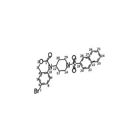 O=C1OCc2cc(Br)ccc2N1C1CCN(S(=O)(=O)c2ccc3ccccc3c2)CC1